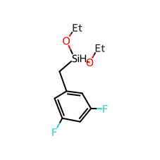 CCO[SiH](Cc1cc(F)cc(F)c1)OCC